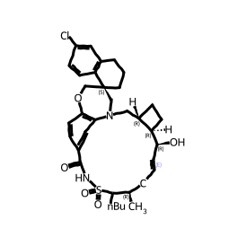 CCCCC1[C@H](C)C/C=C/[C@H](O)[C@@H]2CC[C@H]2CN2C[C@@]3(CCCc4cc(Cl)ccc43)COc3ccc(cc32)C(=O)NS1(=O)=O